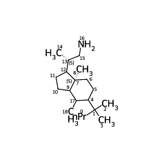 CCCC(C)(C)C1CC[C@@]2(C)C(CCC2[C@H](C)CN)C1C